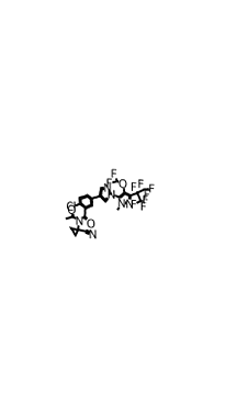 CC(=O)N(C(=O)c1cc(-c2cnn(-c3c(OC(F)F)c(C(F)(C(F)(F)F)C(F)(F)F)nn3C)c2)ccc1Cl)C1(C#N)CC1